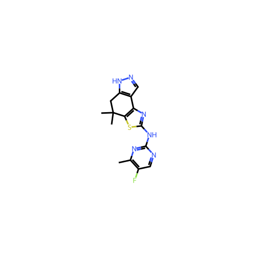 Cc1nc(Nc2nc3c(s2)C(C)(C)Cc2[nH]ncc2-3)ncc1F